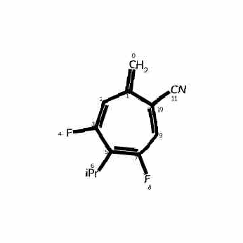 C=C1C=C(F)C(C(C)C)=C(F)C=C1C#N